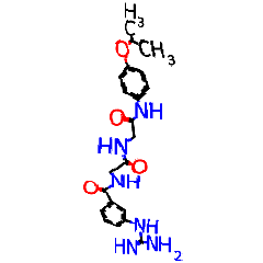 CC(C)Oc1ccc(NC(=O)CNC(=O)CNC(=O)c2cccc(NC(=N)N)c2)cc1